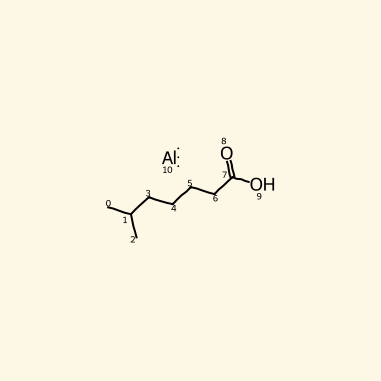 CC(C)CCCCC(=O)O.[Al]